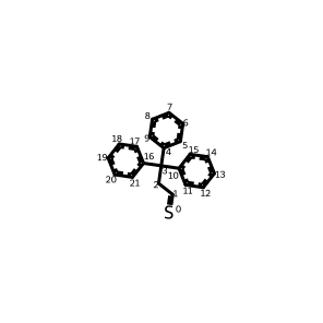 S=CCC(c1ccccc1)(c1ccccc1)c1ccccc1